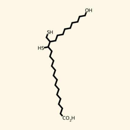 O=C(O)CCCCCCCCCCCCCCC(S)C(CS)CCCCCCCCCO